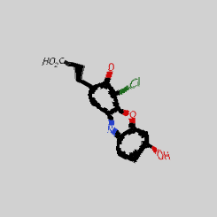 O=C(O)CCc1cc2nc3ccc(O)cc3oc-2c(Cl)c1=O